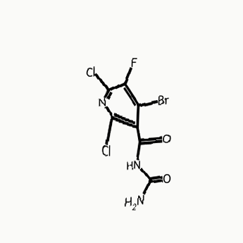 NC(=O)NC(=O)c1c(Cl)nc(Cl)c(F)c1Br